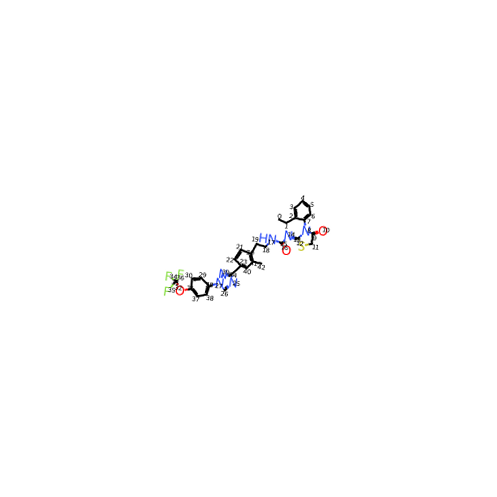 CCc1ccccc1N1C(=O)CS/C1=N\C(=O)NCCc1ccc(-c2ncn(-c3ccc(OC(F)(F)F)cc3)n2)cc1C